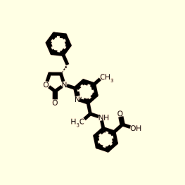 Cc1cc(C(C)Nc2ccccc2C(=O)O)nc(N2C(=O)OC[C@@H]2Cc2ccccc2)c1